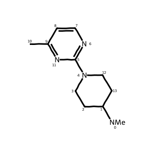 CNC1CCN(c2nccc(C)n2)CC1